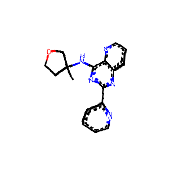 CC1(Nc2nc(-c3ccccn3)nc3cccnc23)CCOC1